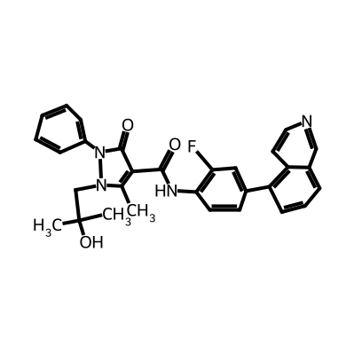 Cc1c(C(=O)Nc2ccc(-c3cccc4cnccc34)cc2F)c(=O)n(-c2ccccc2)n1CC(C)(C)O